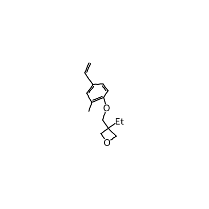 C=Cc1ccc(OCC2(CC)COC2)c(C)c1